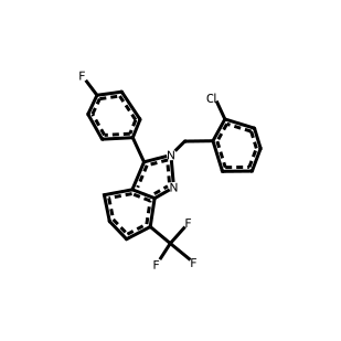 Fc1ccc(-c2c3cccc(C(F)(F)F)c3nn2Cc2ccccc2Cl)cc1